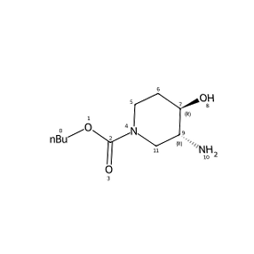 CCCCOC(=O)N1CC[C@@H](O)[C@H](N)C1